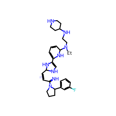 CCN(CCNC1CCNCC1)C1C=CC=C(C2=CNC(/C=C\C(=N)N3CCCC3c3cccc(F)c3)N2)N1